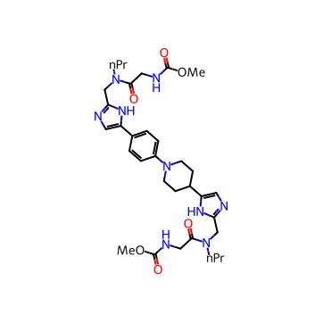 CCCN(Cc1ncc(-c2ccc(N3CCC(c4cnc(CN(CCC)C(=O)CNC(=O)OC)[nH]4)CC3)cc2)[nH]1)C(=O)CNC(=O)OC